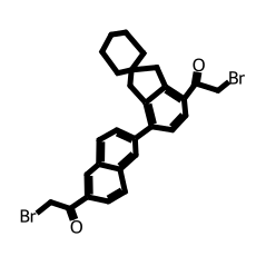 O=C(CBr)c1ccc2cc(-c3ccc(C(=O)CBr)c4c3CC3(CCCCC3)C4)ccc2c1